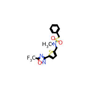 CN(Cc1ccc(-c2noc(C(F)(F)F)n2)s1)S(=O)(=O)Cc1ccccc1